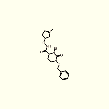 CCN1C(=O)N(OCc2ccccc2)CC[C@H]1C(=O)NO[C@H]1CCN(C)C1